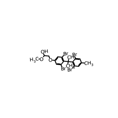 COC(O)COc1cc(Br)c(C(C)(C)c2c(Br)cc(C)cc2Br)c(Br)c1